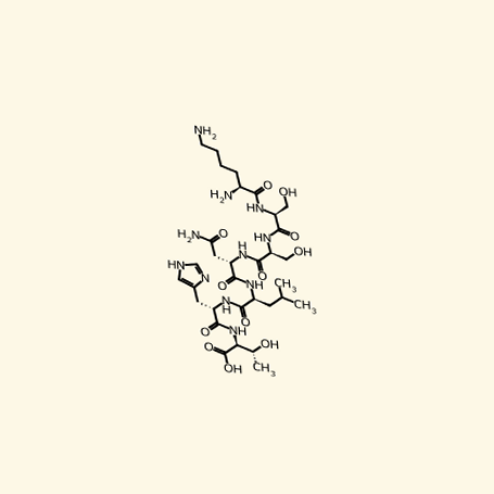 CC(C)C[C@H](NC(=O)[C@H](CC(N)=O)NC(=O)[C@H](CO)NC(=O)[C@H](CO)NC(=O)[C@@H](N)CCCCN)C(=O)N[C@@H](Cc1c[nH]cn1)C(=O)N[C@H](C(=O)O)[C@@H](C)O